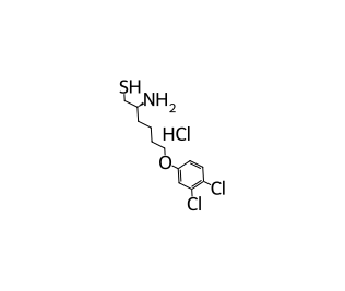 Cl.N[C@H](CS)CCCCOc1ccc(Cl)c(Cl)c1